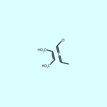 CC=C=CCl.O=C(O)/C=C\C(=O)O